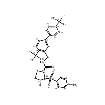 C[C@H]1CC[C@@H](C(=O)NCc2cc(-c3cnc(C(F)(F)F)nc3)ncc2C(F)(F)F)N1S(=O)(=O)c1ccc(N)cn1